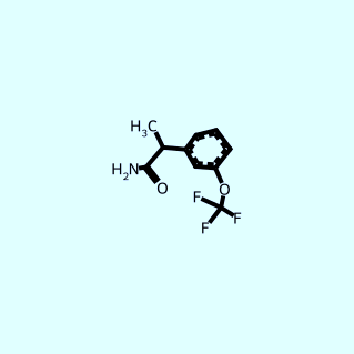 CC(C(N)=O)c1cccc(OC(F)(F)F)c1